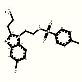 Cc1ccc(S(=O)(=O)OCCn2c(CCN)nc3cc(Cl)ccc32)cc1